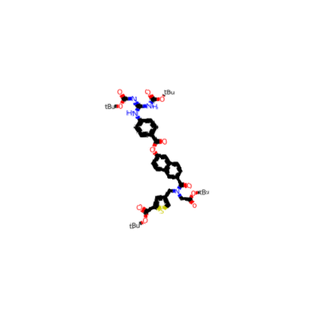 CC(C)(C)OC(=O)CN(Cc1csc(C(=O)OC(C)(C)C)c1)C(=O)c1ccc2cc(OC(=O)c3ccc(NC(=NC(=O)OC(C)(C)C)NC(=O)OC(C)(C)C)cc3)ccc2c1